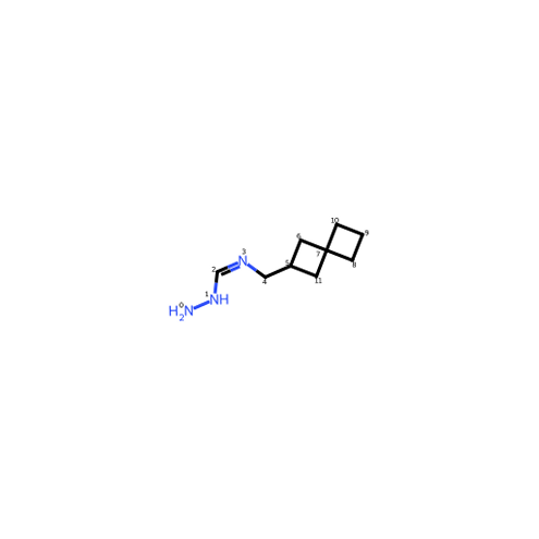 NN/C=N\CC1CC2(CCC2)C1